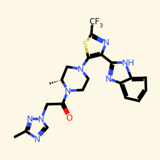 Cc1ncn(CC(=O)N2CCN(c3sc(C(F)(F)F)nc3-c3nc4ccccc4[nH]3)C[C@H]2C)n1